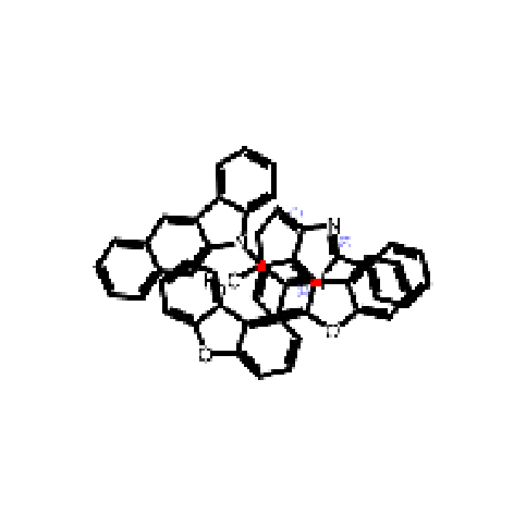 CC1C/C=C(c2c(-n3c4ccccc4c4cc5ccccc5cc43)ccc3oc4ccccc4c23)/N=C(c2ccccc2)\N=C/1c1cccc2oc3ccccc3c12